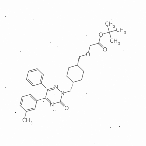 Cc1cccc(-c2nc(=O)n(C[C@H]3CC[C@H](COCC(=O)OC(C)(C)C)CC3)nc2-c2ccccc2)c1